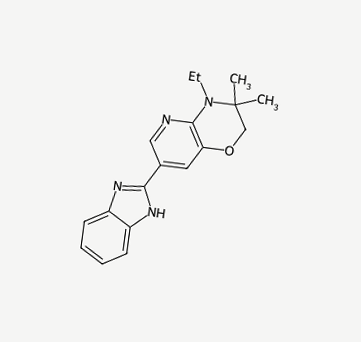 CCN1c2ncc(-c3nc4ccccc4[nH]3)cc2OCC1(C)C